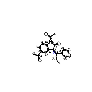 CO/C(=C1/C(=O)N(C(C)=O)c2ccc(C(C)=O)cc21)c1ccoc1